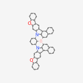 c1cc2c3c(c1)-n1c4cc5oc6ccccc6c5cc4c4c5ccccc5cc(c41)B3c1cc3ccccc3c3c4cc5c(cc4n-2c13)oc1ccccc15